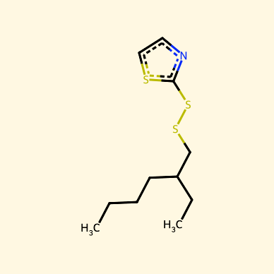 CCCCC(CC)CSSc1nccs1